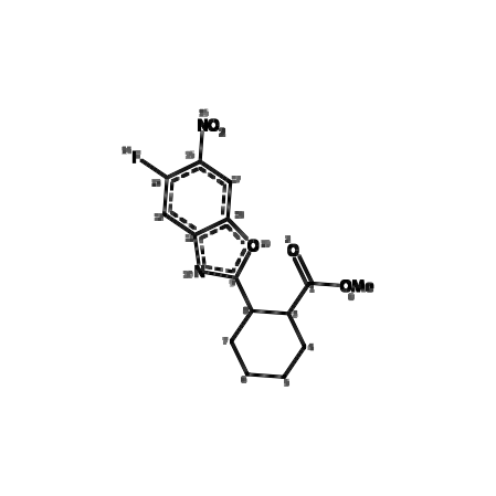 COC(=O)C1CCCCC1c1nc2cc(F)c([N+](=O)[O-])cc2o1